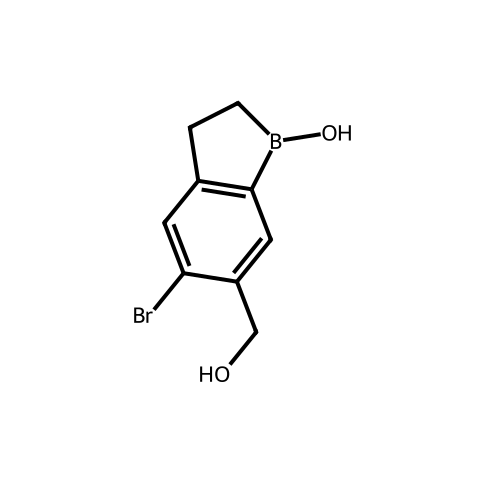 OCc1cc2c(cc1Br)CCB2O